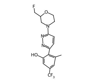 Cc1cc(C(F)(F)F)cc(O)c1-c1ccc(N2CCOC(CF)C2)nn1